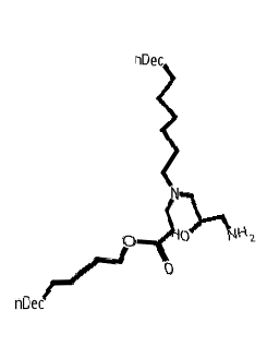 CCCCCCCCCCCCCCCCN(CCC(=O)OCCCCCCCCCCCCCC)CC(O)CN